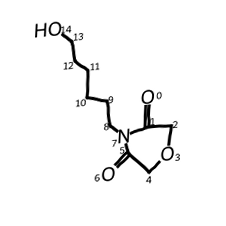 O=C1COCC(=O)N1CCCCCCO